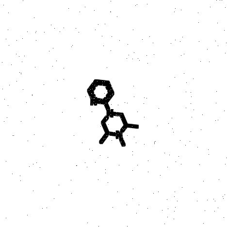 CC1CN(c2ccccn2)CC(C)N1C